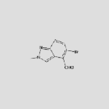 Cn1cc2c(C=O)c(Br)ccc2n1